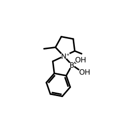 CC1CCC(C)[N+]12Cc1ccccc1[B-]2(O)O